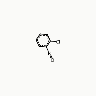 O=Bc1ccccc1Cl